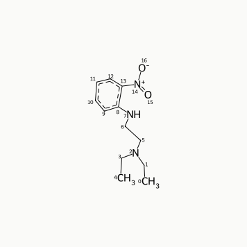 CCN(CC)CCNc1ccccc1[N+](=O)[O-]